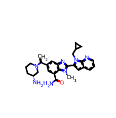 C=C(c1cc(C(N)=O)c2c(c1)nc(-c1cc3cccnc3n1CC1CC1)n2C)N1CCC[C@@H](N)C1